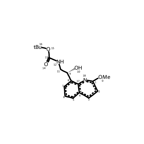 COc1ccc2cccc([C@@H](O)CNC(=O)OC(C)(C)C)c2n1